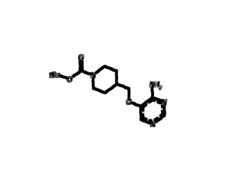 CC(C)(C)OC(=O)N1CCC(COc2cncnc2N)CC1